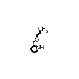 C=CCOC[C@@H]1CCCN1